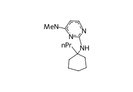 CCCC1(Nc2nccc(NC)n2)CCCCC1